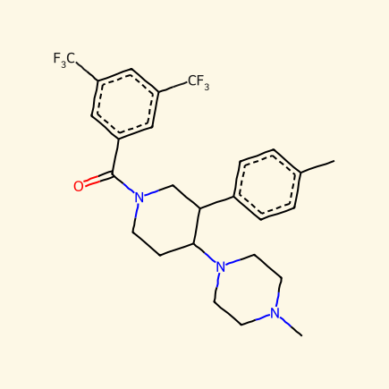 Cc1ccc(C2CN(C(=O)c3cc(C(F)(F)F)cc(C(F)(F)F)c3)CCC2N2CCN(C)CC2)cc1